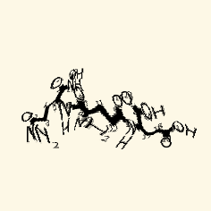 NC(=O)CC[C@H](NC(=O)C(N)CCC(=O)NC(CCC(=O)O)C(=O)O)C(=O)NO